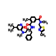 Cc1csc(CN(C)C(=O)c2ccc(C)c(C(=O)N[C@@H](Cc3ccccc3)[C@H](O)CN(C)c3cncc(C(C)C)c3)c2)n1